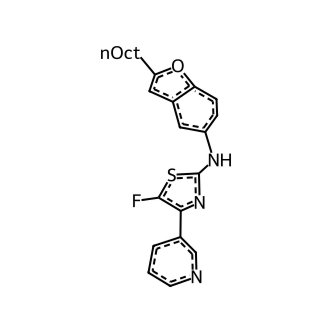 CCCCCCCCc1cc2cc(Nc3nc(-c4cccnc4)c(F)s3)ccc2o1